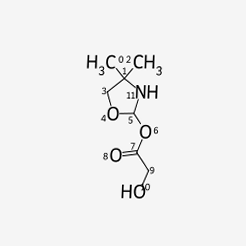 CC1(C)COC(OC(=O)CO)N1